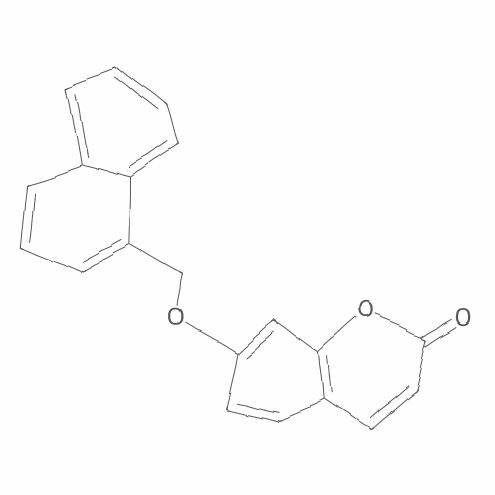 O=c1ccc2ccc(OCc3cccc4ccccc34)cc2o1